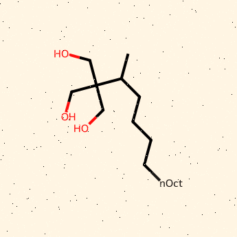 CCCCCCCCCCCCC(C)C(CO)(CO)CO